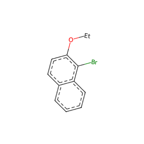 [CH2]COc1ccc2ccccc2c1Br